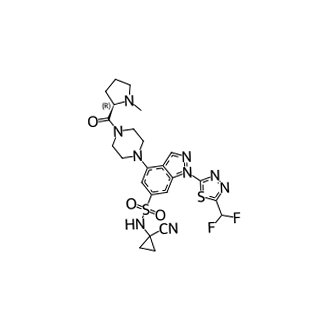 CN1CCC[C@@H]1C(=O)N1CCN(c2cc(S(=O)(=O)NC3(C#N)CC3)cc3c2cnn3-c2nnc(C(F)F)s2)CC1